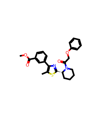 COC(=O)c1cccc(-c2nc([C@H]3CCCCN3C(=O)COc3ccccc3)sc2C)c1